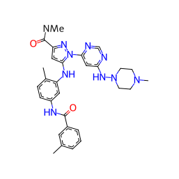 CNC(=O)c1cc(Nc2cc(NC(=O)c3cccc(C)c3)ccc2C)n(-c2cc(NN3CCN(C)CC3)ncn2)n1